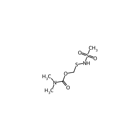 CN(C)C(=O)OCSNS(C)(=O)=O